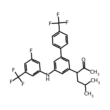 CC(=O)C(CC(C)C)c1cc(Nc2cc(F)cc(C(F)(F)F)c2)cc(-c2ccc(C(F)(F)F)cc2)c1